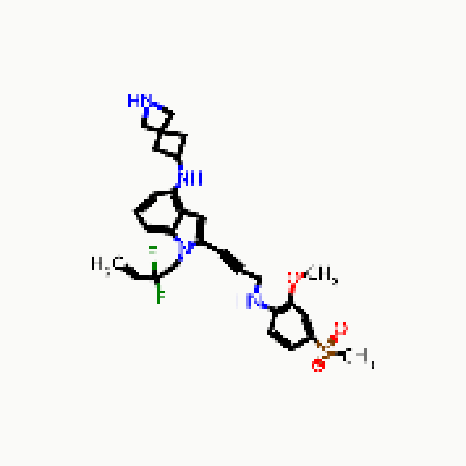 C=CC(F)(F)Cn1c(C#CCNc2ccc(S(C)(=O)=O)cc2OC)cc2c(NC3CC4(CNC4)C3)cccc21